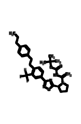 C=C(NC(=O)OC(C)(C)C)N1CCC[C@H]1c1nc(-c2ccc(CCc3ccc(CCC)cc3)c(C(F)(F)F)c2)no1